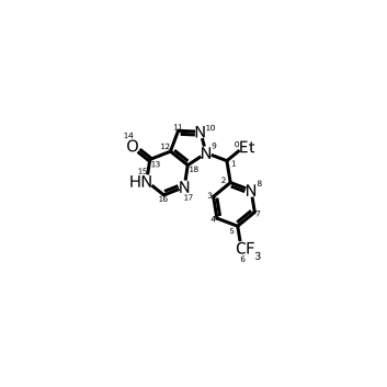 CCC(c1ccc(C(F)(F)F)cn1)n1ncc2c(=O)[nH]cnc21